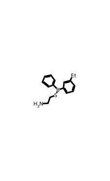 CCc1cccc(B(SCCN)c2ccccc2)c1